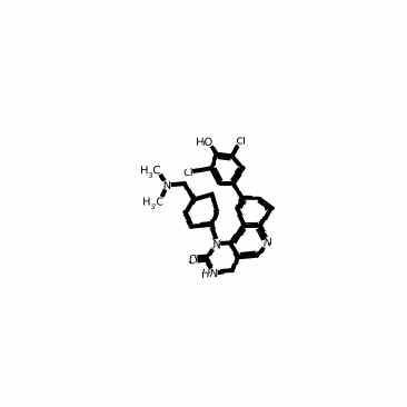 CN(C)CC1CCC(N2C(=O)NCc3cnc4ccc(-c5cc(Cl)c(O)c(Cl)c5)cc4c32)CC1